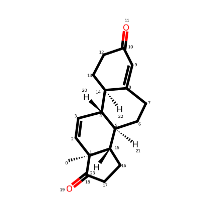 C[C@]12C=C[C@H]3[C@@H](CCC4=CC(=O)CC[C@@H]43)[C@@H]1CCC2=O